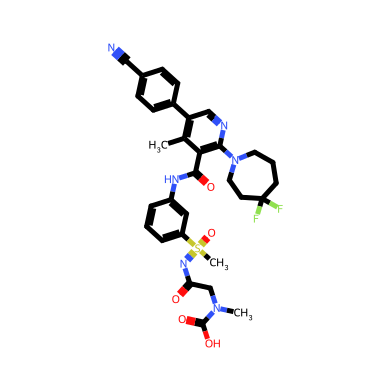 Cc1c(-c2ccc(C#N)cc2)cnc(N2CCCC(F)(F)CC2)c1C(=O)Nc1cccc(S(C)(=O)=NC(=O)CN(C)C(=O)O)c1